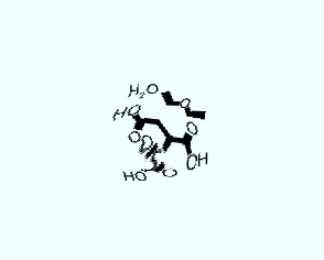 C=COC=C.O.O=C(O)CC(C(=O)O)S(=O)(=O)O